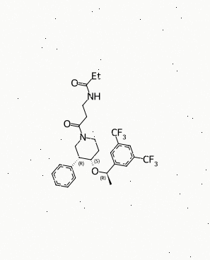 CCC(=O)NCCC(=O)N1CC[C@H](O[C@H](C)c2cc(C(F)(F)F)cc(C(F)(F)F)c2)[C@H](c2ccccc2)C1